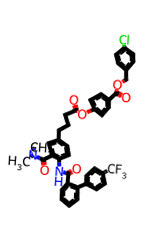 CN(C)C(=O)c1cc(CCCC(=O)Oc2ccc(C(=O)OCc3ccc(Cl)cc3)cc2)ccc1NC(=O)c1ccccc1-c1ccc(C(F)(F)F)cc1